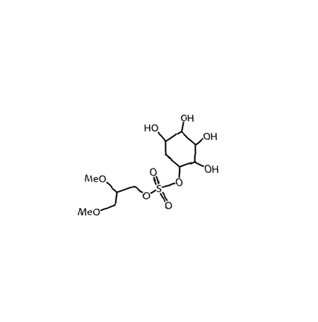 COCC(COS(=O)(=O)OC1CC(O)C(O)C(O)C1O)OC